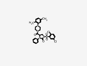 Cc1ccc(C)c(N2CCN(C(=O)C3CN(S(=O)(=O)c4cc(Cl)ccc4Cl)C(=O)N3c3ccccc3)CC2)c1